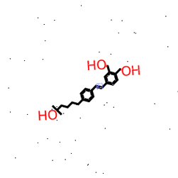 CC(C)(O)CCCCc1ccc(/C=C/c2ccc(CO)c(CO)c2)cc1